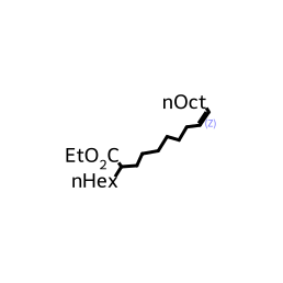 CCCCCCCC/C=C\CCCCCCC(CCCCCC)C(=O)OCC